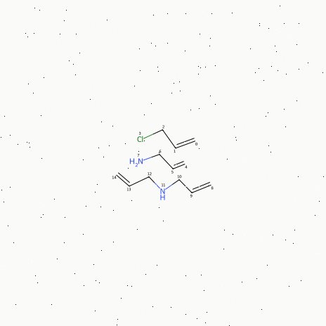 C=CCCl.C=CCN.C=CCNCC=C